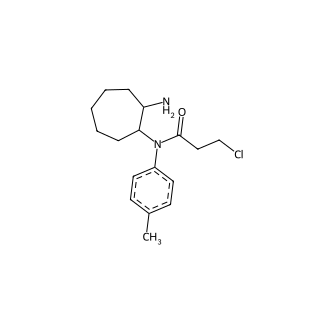 Cc1ccc(N(C(=O)CCCl)C2CCCCCC2N)cc1